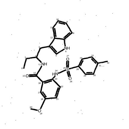 CCC(Cc1c[nH]c2ccccc12)NC(=O)c1cc(OC)ccc1NS(=O)(=O)c1ccc(C)cc1